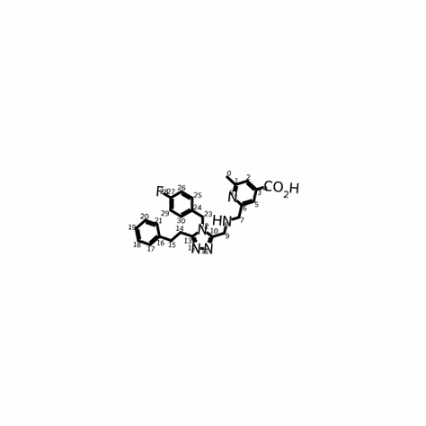 Cc1cc(C(=O)O)cc(CNCc2nnc(CCc3ccccc3)n2Cc2ccc(F)cc2)n1